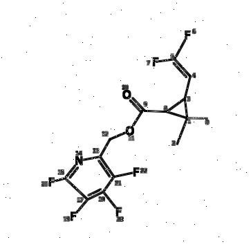 CC1(C)C(C=C(F)F)C1C(=O)OCc1nc(F)c(F)c(F)c1F